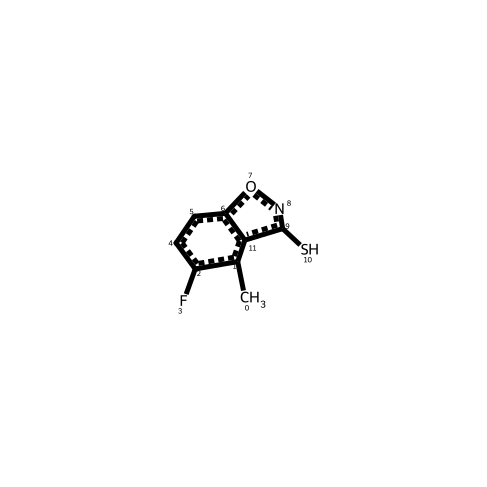 Cc1c(F)ccc2onc(S)c12